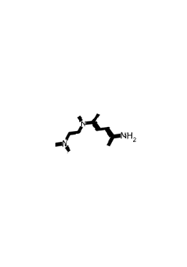 C/C(N)=C\C=C(/C)N(C)CCN(C)C